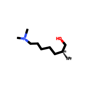 CCC[C@@H](CO)CCCCCN(C)C